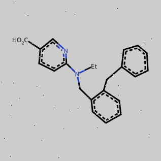 CCN(Cc1ccccc1Cc1ccccc1)c1ccc(C(=O)O)cn1